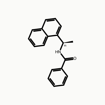 C[C@@H](NC(=O)c1ccccc1)c1cccc2ccccc12